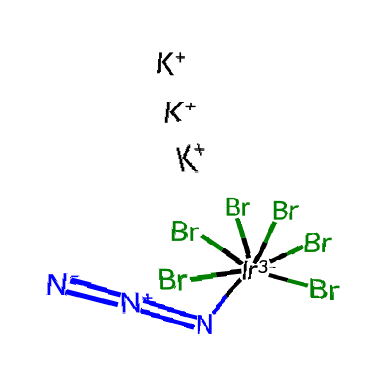 [K+].[K+].[K+].[N-]=[N+]=[N][Ir-3]([Br])([Br])([Br])([Br])([Br])[Br]